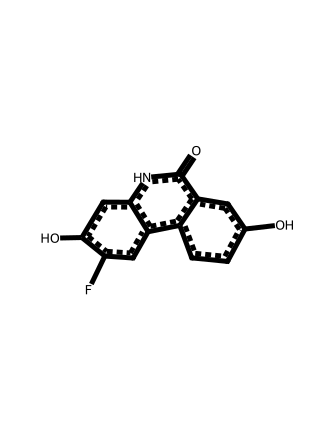 O=c1[nH]c2cc(O)c(F)cc2c2ccc(O)cc12